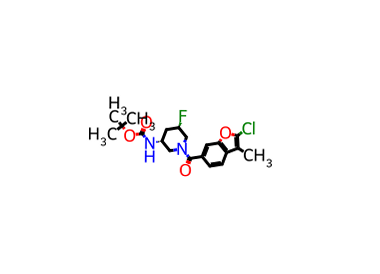 Cc1c(Cl)oc2cc(C(=O)N3C[C@H](F)C[C@@H](NC(=O)OC(C)(C)C)C3)ccc12